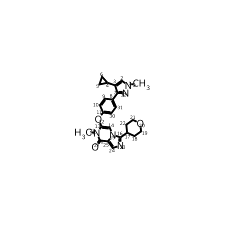 Cn1cc(C2CC2)c(-c2ccc(Oc3cn4c(C5CCOCC5)ncc4c(=O)n3C)cc2)n1